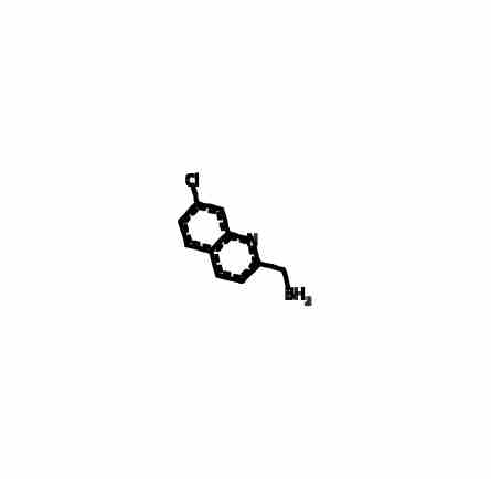 BCc1ccc2ccc(Cl)cc2n1